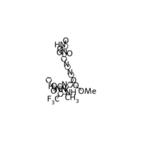 COCCOc1cc2c(N[C@H](C)c3cc(NC(=O)OCc4ccccc4)cc(C(F)(F)F)c3)nc(C)nc2cc1OC1CCN(C2CCN(c3ccc4c(c3)C(=O)N(C3CCC(=O)NC3=O)C4=O)CC2)CC1